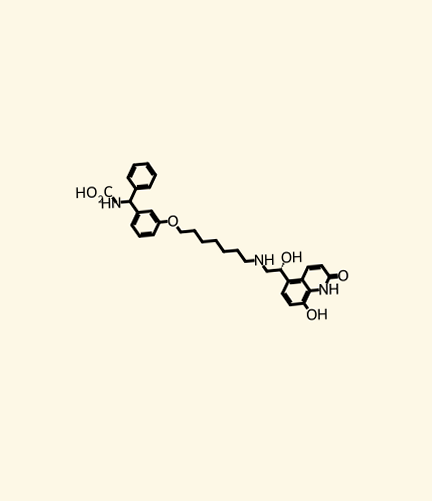 O=C(O)NC(c1ccccc1)c1cccc(OCCCCCCCNC[C@H](O)c2ccc(O)c3[nH]c(=O)ccc23)c1